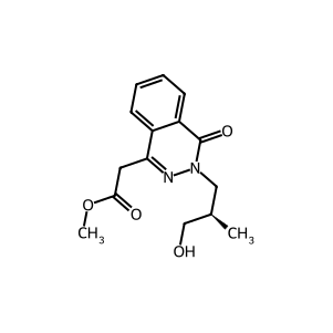 COC(=O)Cc1nn(C[C@@H](C)CO)c(=O)c2ccccc12